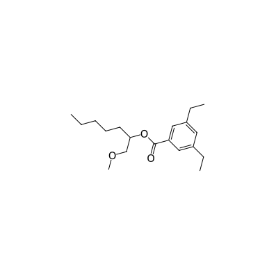 CCCCCC(COC)OC(=O)c1cc(CC)cc(CC)c1